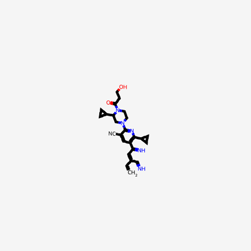 C=C/C(C=N)=C/C(=N)c1cc(C#N)c(N2CCN(C(=O)CCO)C(C3CC3)C2)nc1C1CC1